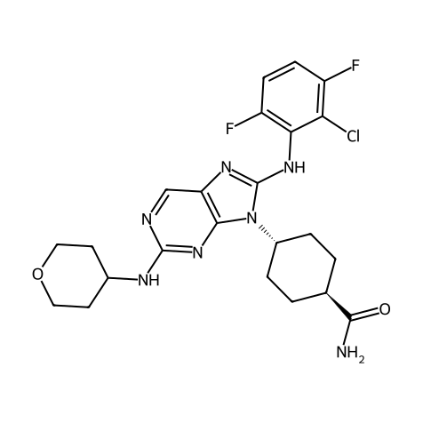 NC(=O)[C@H]1CC[C@H](n2c(Nc3c(F)ccc(F)c3Cl)nc3cnc(NC4CCOCC4)nc32)CC1